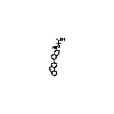 CC(O)C(C)(C)OBc1ccc2cc(-c3ccc4c(ccc5ccccc54)c3)ccc2c1